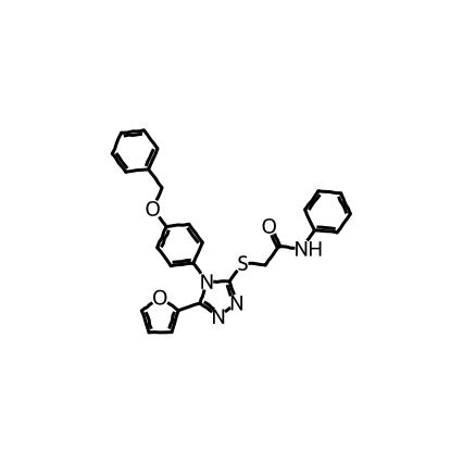 O=C(CSc1nnc(-c2ccco2)n1-c1ccc(OCc2ccccc2)cc1)Nc1ccccc1